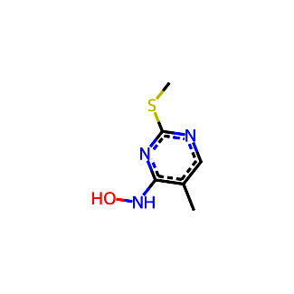 CSc1ncc(C)c(NO)n1